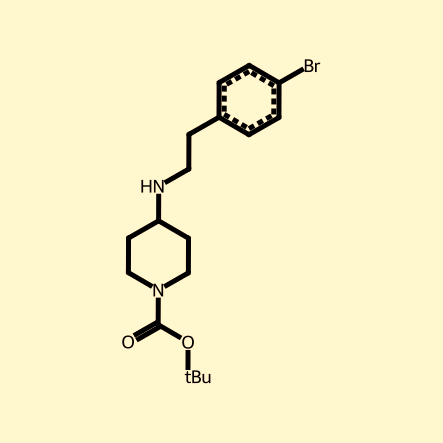 CC(C)(C)OC(=O)N1CCC(NCCc2ccc(Br)cc2)CC1